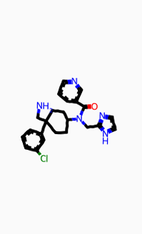 NCC1(c2cccc(Cl)c2)CCC(N(Cc2ncc[nH]2)C(=O)c2cccnc2)CC1